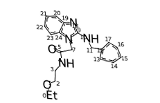 CCOCCNC(=O)Cn1c(NCc2ccccc2)nc2ccccc21